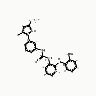 CCOC(=O)c1cc(C)n(-c2cccc(NC(=O)Nc3cccnc3Oc3ccccc3C(C)(C)C)c2)n1